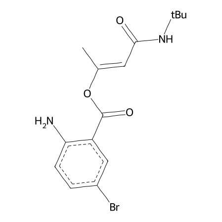 CC(=CC(=O)NC(C)(C)C)OC(=O)c1cc(Br)ccc1N